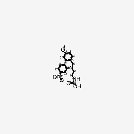 COc1ccc(CN(CCNC(=O)O)c2cccc([N+](=O)[O-])c2)cc1